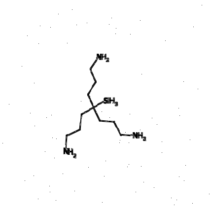 NCCCC([SiH3])(CCCN)CCCN